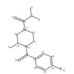 CC(C)C(=O)N1CCN(C(=O)c2ccc(F)cc2)C(C)C1